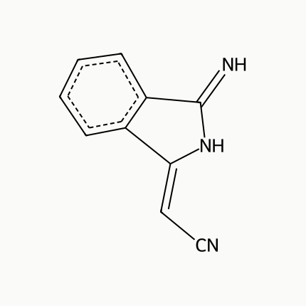 N#CC=C1NC(=N)c2ccccc21